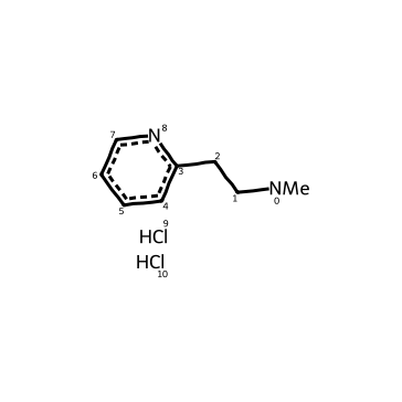 CNCCc1ccccn1.Cl.Cl